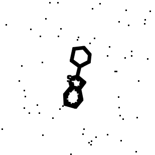 c1ccc2sc([C]3CCCCC3)cc2c1